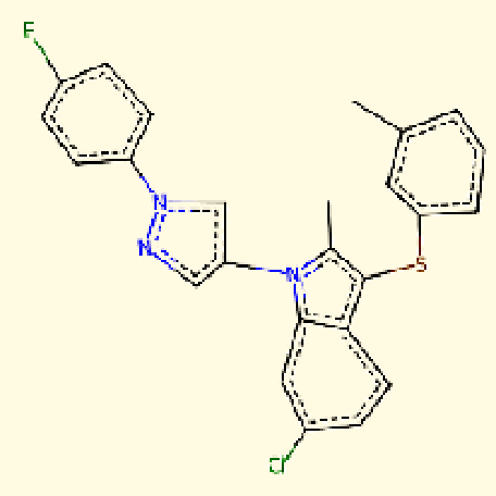 Cc1cccc(Sc2c(C)n(-c3cnn(-c4ccc(F)cc4)c3)c3cc(Cl)ccc23)c1